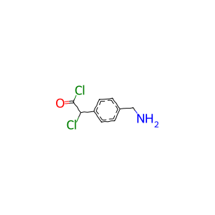 NCc1ccc(C(Cl)C(=O)Cl)cc1